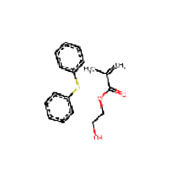 C=C(C)C(=O)OCCO.c1ccc(Sc2ccccc2)cc1